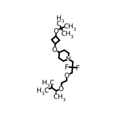 CC(C)[C@H](C)OCCOCC(F)(F)CN1CCC(OC2CC(OC(C)(C)C)C2)CC1